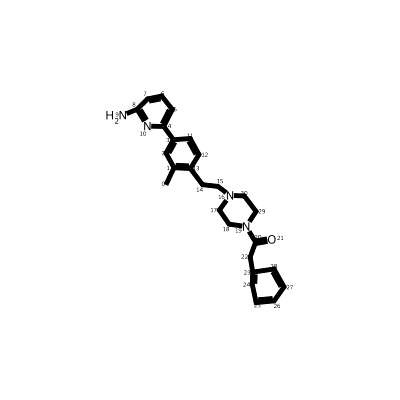 Cc1cc(-c2cccc(N)n2)ccc1CCN1CCN(C(=O)Cc2ccccc2)CC1